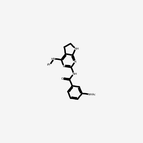 CC(=O)Nc1cccc(C(=O)Nc2nc3c(c(NC(C)C)n2)CCN3)c1